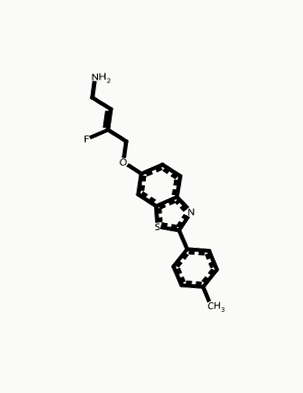 Cc1ccc(-c2nc3ccc(OCC(F)=CCN)cc3s2)cc1